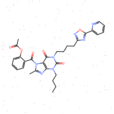 CCCCn1c(=O)n(CCCCc2noc(-c3ccccn3)n2)c(=O)c2c1nc(C)n2C(=O)c1ccccc1OC(C)=O